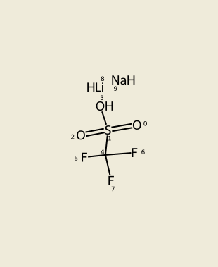 O=S(=O)(O)C(F)(F)F.[LiH].[NaH]